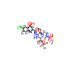 CCOC(=O)N1CCN(C(=O)[C@H](CCC(=O)OC(C)(C)C)NC(=O)c2cc(O)c3cc(Cl)c(C)cc3n2)CC1